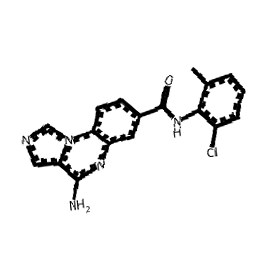 Cc1cccc(Cl)c1NC(=O)c1ccc2c(c1)nc(N)c1cncn12